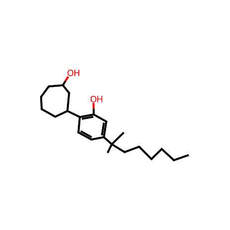 CCCCCCC(C)(C)c1ccc(C2CCCCC(O)C2)c(O)c1